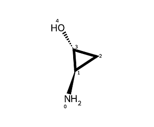 N[C@@H]1C[C@H]1O